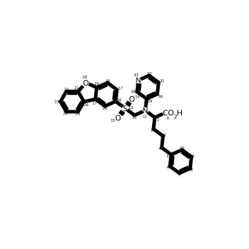 O=C(O)C(CCCc1ccccc1)N(CS(=O)(=O)c1ccc2oc3ccccc3c2c1)c1cccnc1